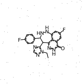 CCn1ncnc1C1c2n[nH]c(=O)c3cc(F)cc(c23)NNC1c1ccc(F)cc1